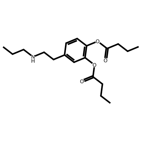 CCCNCCc1ccc(OC(=O)CCC)c(OC(=O)CCC)c1